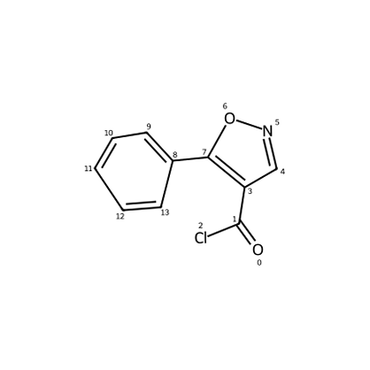 O=C(Cl)c1cnoc1-c1ccccc1